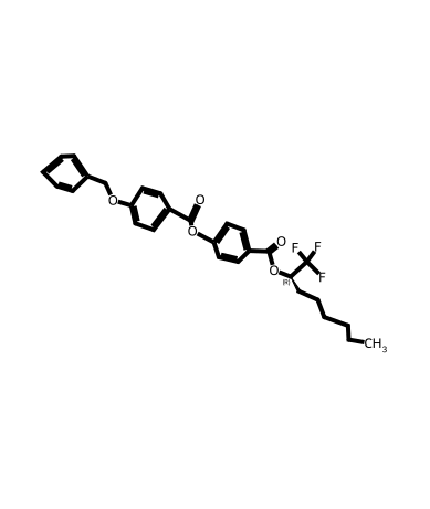 CCCCCC[C@@H](OC(=O)c1ccc(OC(=O)c2ccc(OCc3ccccc3)cc2)cc1)C(F)(F)F